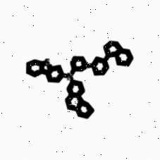 c1cc(-c2cccc(N(c3ccc4c(ccc5ccccc54)c3)c3ccc4c(c3)sc3ccccc34)c2)cc(-c2cccc3ccccc23)c1